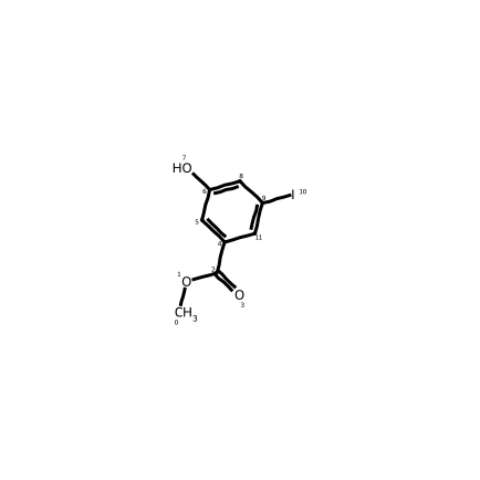 COC(=O)c1cc(O)cc(I)c1